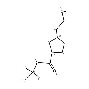 CC(C)(C)OC(=O)N1CCC(CCO)C1